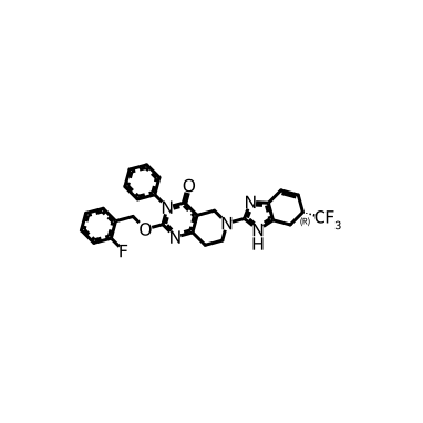 O=c1c2c(nc(OCc3ccccc3F)n1-c1ccccc1)CCN(c1nc3c([nH]1)C[C@@H](C(F)(F)F)C=C3)C2